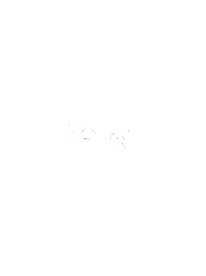 COCC(CCc1ccc(C(=O)OC)cc1)NC(=O)OC(C)(C)C